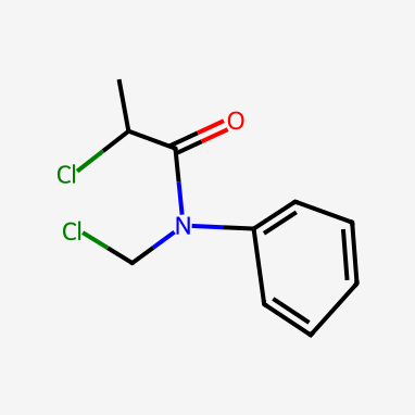 CC(Cl)C(=O)N(CCl)c1ccccc1